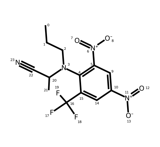 CCCN(c1c([N+](=O)[O-])cc([N+](=O)[O-])cc1C(F)(F)F)C(C)C#N